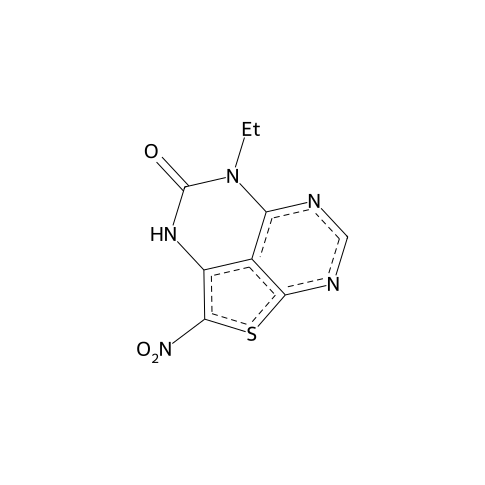 CCN1C(=O)Nc2c([N+](=O)[O-])sc3ncnc1c23